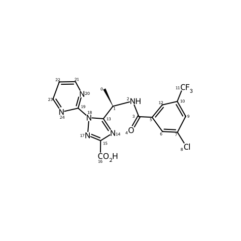 C[C@@H](NC(=O)c1cc(Cl)cc(C(F)(F)F)c1)c1nc(C(=O)O)nn1-c1ncccn1